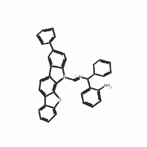 Nc1ccccc1C(/N=C/n1c2ccc(-c3ccccc3)cc2c2ccc3c4ccccc4sc3c21)C1C=CC=CC1